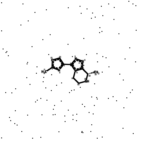 Cc1nc(-c2nnc3n2CCN[C@H]3C)co1